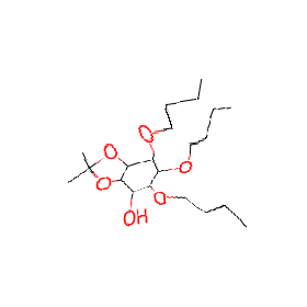 CCCCOC1C(O)C2OC(C)(C)OC2C(OCCCC)C1OCCCC